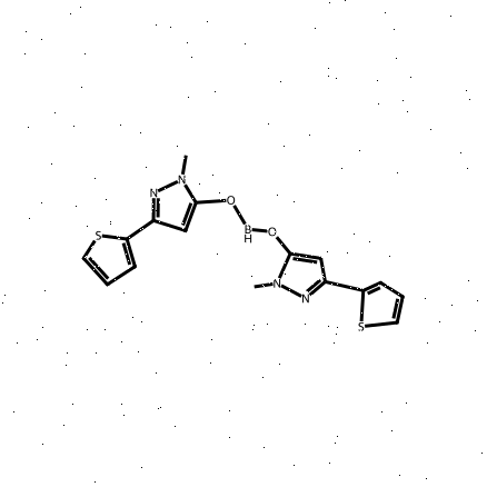 Cn1nc(-c2cccs2)cc1OBOc1cc(-c2cccs2)nn1C